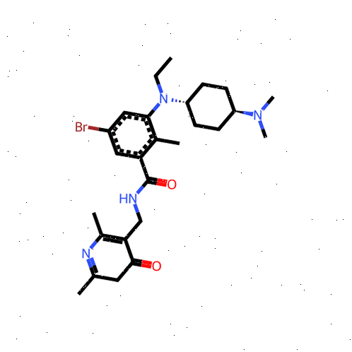 CCN(c1cc(Br)cc(C(=O)NCC2=C(C)N=C(C)CC2=O)c1C)[C@H]1CC[C@H](N(C)C)CC1